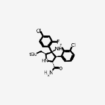 CC(C)(C)C[C@@H]1N[C@@H](C(N)=O)[C@H](c2cccc(Cl)c2F)[C@@]1(N)c1ccc(Cl)cc1F